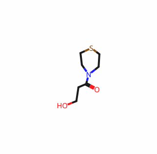 O=C(CCO)N1CCSCC1